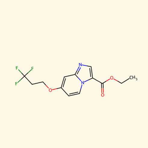 CCOC(=O)c1cnc2cc(OCCC(F)(F)F)ccn12